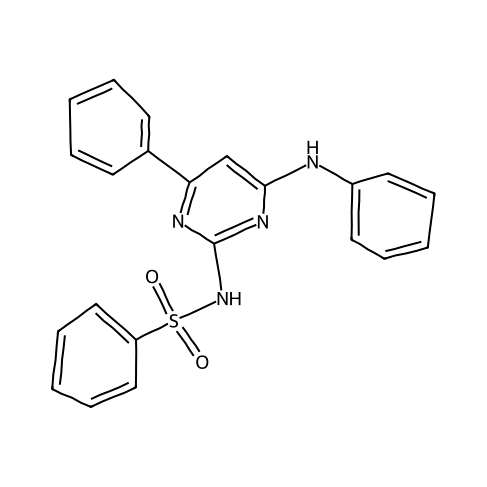 O=S(=O)(Nc1nc(Nc2ccccc2)cc(-c2ccccc2)n1)c1ccccc1